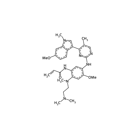 C=CC(=O)Nc1cc(Nc2ncc(C)c(-c3cn(C)c4cc(OC)ccc34)n2)c(OC)cc1N(C)CCN(C)C